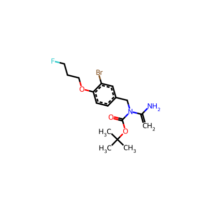 C=C(N)N(Cc1ccc(OCCCF)c(Br)c1)C(=O)OC(C)(C)C